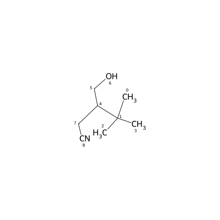 CC(C)(C)C(CO)CC#N